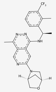 Cc1c([C@@H](C)Nc2nnc(C)c3cnc(N4C[C@@H]5C[C@H]4CO5)cc23)cccc1C(F)(F)F